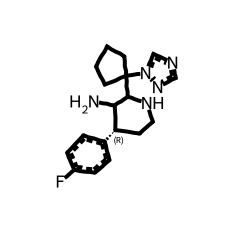 NC1C(C2(n3cncn3)CCCC2)NCC[C@@H]1c1ccc(F)cc1